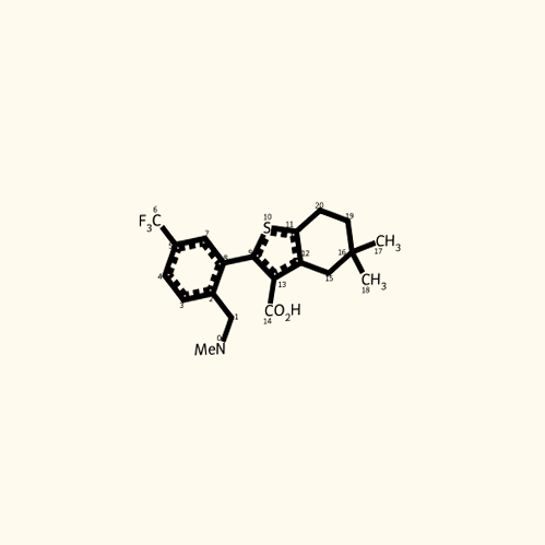 CNCc1ccc(C(F)(F)F)cc1-c1sc2c(c1C(=O)O)CC(C)(C)CC2